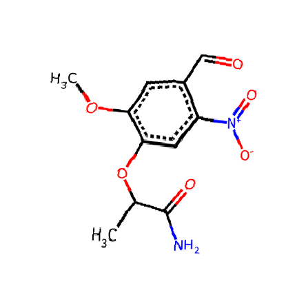 COc1cc(C=O)c([N+](=O)[O-])cc1OC(C)C(N)=O